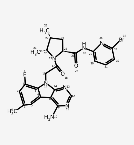 Cc1cc(F)c2c(c1)c1c(N)ncnc1n2CC(=O)N1[C@H](C)[C@H](C)C[C@H]1C(=O)Nc1cccc(Br)n1